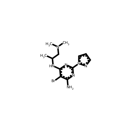 CC(CN(C)C)Nc1nc(-n2cccn2)nc(N)c1Br